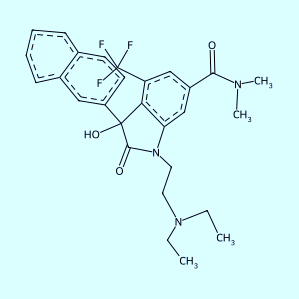 CCN(CC)CCN1C(=O)C(O)(c2ccc3ccccc3c2)c2c1cc(C(=O)N(C)C)cc2C(F)(F)F